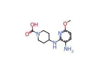 COc1ccc(N)c(NC2CCN(C(=O)O)CC2)n1